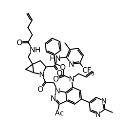 C=CCCC(=O)NCC12CC(C(=O)Nc3nc(C(F)(F)F)ccc3C)N(C(=O)Cn3nc(C(C)=O)c4cc(-c5cnc(C)nc5)cc(N(CC=C)C(=O)OCc5ccccc5)c43)C1C2